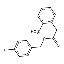 O=C(Cc1ccccc1C(=O)O)OCc1ccc(F)cc1